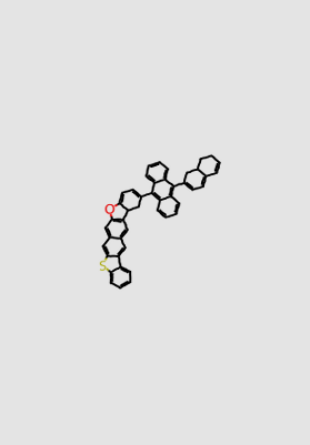 C1=CC2=CC=C(c3c4ccccc4c(C4=CC=C5Oc6cc7cc8sc9ccccc9c8cc7cc6C5C4)c4ccccc34)CC2CC1